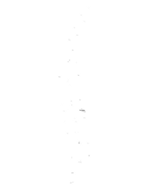 CCCCCCCCC1CCC(C2CCC3(CC2)CC2(CCC(C4CCC(CCC)CC4)CC2)C3=O)CC1